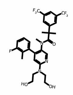 Cc1c(F)cccc1-c1cc(N(CCO)CCO)ncc1N(C)C(=O)C(C)(C)c1cc(C(F)(F)F)cc(C(F)(F)F)c1